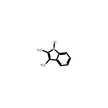 CCn1c(C)c(C)c2c[c]ccc21